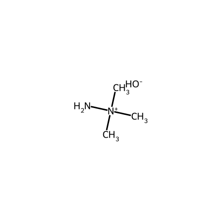 C[N+](C)(C)N.[OH-]